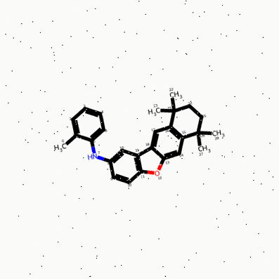 Cc1ccccc1Nc1ccc2oc3cc4c(cc3c2c1)C(C)(C)CCC4(C)C